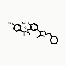 COc1ccc(-c2sc(CC3CCCCC3)nc2C)cc1S(=O)(=O)Nc1ccc(C(C)(C)C)cc1